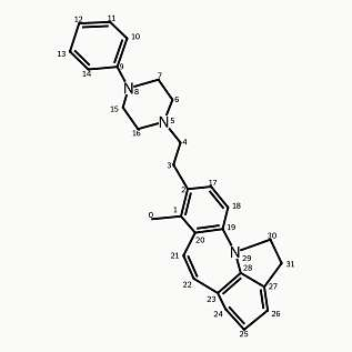 Cc1c(CCN2CCN(c3ccccc3)CC2)ccc2c1C=Cc1cccc3c1N2CC3